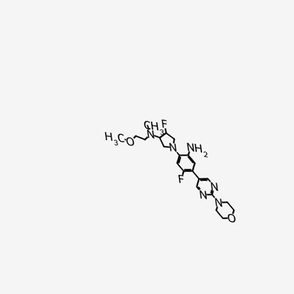 COCCN(C)C1CN(c2cc(F)c(-c3cnc(N4CCOCC4)nc3)cc2N)CC1F